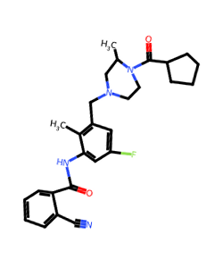 Cc1c(CN2CCN(C(=O)C3CCCC3)C(C)C2)cc(F)cc1NC(=O)c1ccccc1C#N